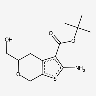 CC(C)(C)OC(=O)c1c(N)sc2c1CC(CO)OC2